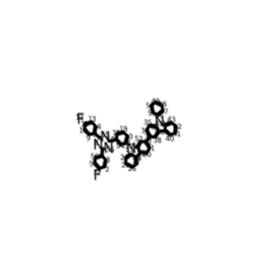 Fc1ccc(-c2nc(-c3ccc(F)cc3)nc(-c3cccc(-n4c5ccccc5c5ccc(-c6ccc7c(c6)c6ccccc6n7-c6ccccc6)cc54)c3)n2)cc1